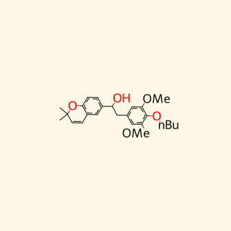 CCCCOc1c(OC)cc(CC(O)c2ccc3c(c2)C=CC(C)(C)O3)cc1OC